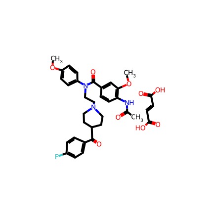 COc1ccc(N(CCN2CCC(C(=O)c3ccc(F)cc3)CC2)C(=O)c2ccc(NC(C)=O)c(OC)c2)cc1.O=C(O)/C=C/C(=O)O